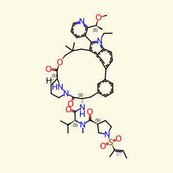 C/C=C(\C)S(=O)(=O)N1CC[C@H](C(=O)N(C)[C@H](C(=O)N[C@H]2Cc3cccc(c3)-c3ccc4c(c3)c(c(-c3cccnc3[C@H](C)OC)n4CC)CC(C)(C)COC(=O)[C@@H]3CCCN(N3)C2=O)C(C)C)C1